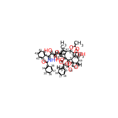 CC(=O)O[C@H]1C(=O)[C@@]2(C)C([C@@H](OC(=O)c3ccccc3)[C@]3(O)C[C@@H](OC(=O)[C@@H](O)[C@@H](NC(=O)c4ccccc4)c4ccccc4)C(C)=C1C3(C)C)[C@@]1(OC(C)=O)CO[C@@H]1C[C@@H]2O